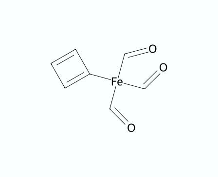 O=[CH][Fe]([CH]=O)([CH]=O)[C]1=CC=C1